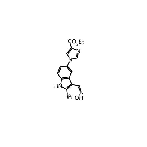 CCOC(=O)c1cn(-c2ccc3[nH]c(C(C)C)c(/C=N\O)c3c2)cn1